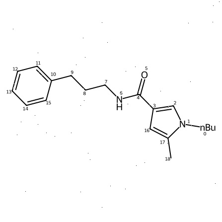 CCCCn1cc(C(=O)NCCCc2ccccc2)cc1C